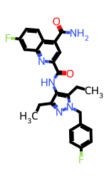 CCc1nn(Cc2ccc(F)cc2)c(CC)c1NC(=O)c1cc(C(N)=O)c2ccc(F)cc2n1